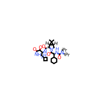 CC(C)N(C(=O)N[C@H](C(=O)N1C[C@@H]2[C@H]([C@H]1C(=O)NC(CC1CCC1)C(=O)C(N)=O)C2(C)C)C1CCCCC1)C(C)C